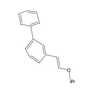 CC(C)OC=Cc1cccc(-c2ccccc2)c1